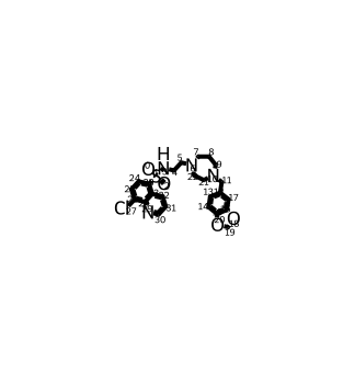 O=S(=O)(NCCN1CCCN(Cc2ccc3c(c2)OCO3)CC1)c1ccc(Cl)c2ncccc12